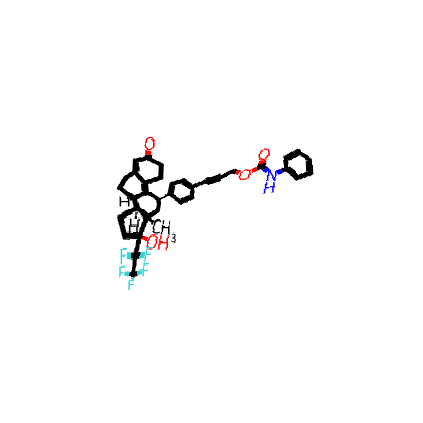 C[C@]12C[C@H](c3ccc(C#CCOC(=O)Nc4ccccc4)cc3)C3=C4CCC(=O)C=C4CC[C@H]3[C@@H]1CC[C@@]2(O)C(F)(F)C(F)(F)F